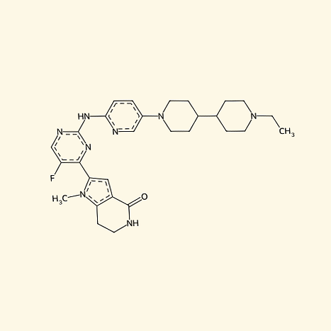 CCN1CCC(C2CCN(c3ccc(Nc4ncc(F)c(-c5cc6c(n5C)CCNC6=O)n4)nc3)CC2)CC1